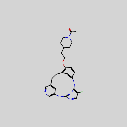 CNC(=O)N1CCC(CCOc2ccc3cc2CCc2cncc(c2)Nc2ncc(Cl)c(n2)N3)CC1